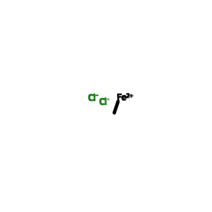 [CH3][Fe+2].[Cl-].[Cl-]